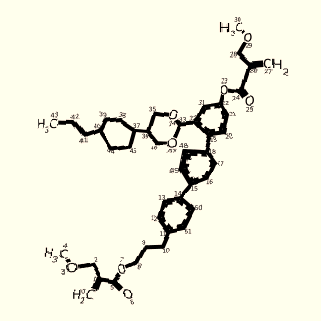 C=C(COC)C(=O)OCCCc1ccc(-c2ccc(-c3ccc(OC(=O)C(=C)COC)cc3C3OCC(C4CCC(CCC)CC4)CO3)cc2)cc1